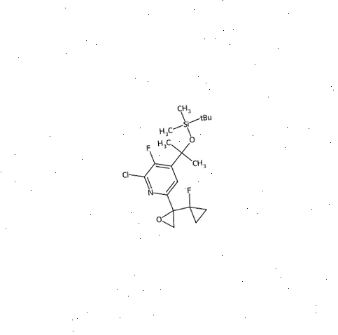 CC(C)(O[Si](C)(C)C(C)(C)C)c1cc(C2(C3(F)CC3)CO2)nc(Cl)c1F